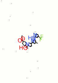 CCOC(=O)C1CCC(C(C)(O)c2ccc(-c3cc(C)cc(Nc4cc(C(F)F)ccn4)n3)cn2)CC1